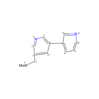 CNCc1cncc(-c2c[c]cnc2)c1